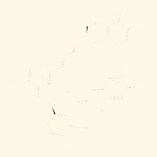 O=C(/C=C/c1ccc(O)c2c1[C@H](C(=O)OC(Cc1ccc(O)c(O)c1)C(=O)O)[C@@H](c1ccc(O)c(O)c1)O2)O[C@H](Cc1ccc(O)c(O)c1)C(=O)O